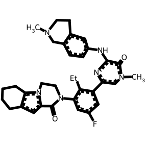 CCc1c(-c2cn(C)c(=O)c(Nc3ccc4c(c3)CCN(C)C4)n2)cc(F)cc1N1CCn2c(cc3c2CCCC3)C1=O